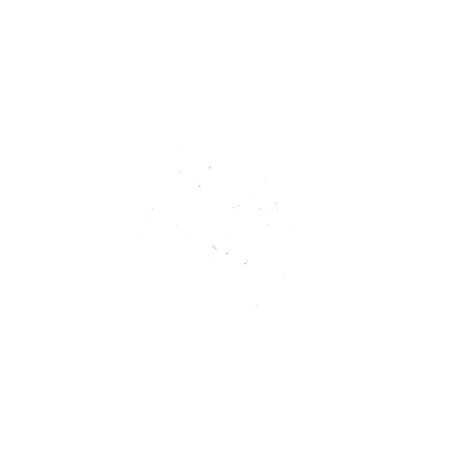 CC(C)[Si]1(O)O[Si](O)(C(C)C)O[Si]2(C(C)C)O[Si](O)(C(C)C)O[Si](O)(C(C)C)O[Si](C(C)C)(O1)O2